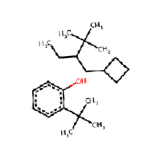 CC(C)(C)c1ccccc1O.CCC(CC1CCC1)C(C)(C)C